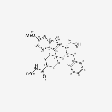 CCCNC(=O)N1CCC2(CC1)CN(Cc1ccccc1)[C@@H](CO)c1[nH]c3cc(OC)ccc3c12